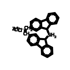 C=C.[Cl-].[Cl-].[Zr+2].c1ccc2c(c1)-c1ccccc1C2[SiH2]C1c2ccccc2-c2ccccc21